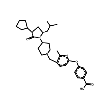 Cc1nc(Oc2ccc(C(=O)O)cc2)ccc1CN1CCC(N2C(=O)N(C3CCCC3)C[C@H]2CC(C)C)CC1